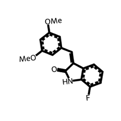 COc1cc(/C=C2\C(=O)Nc3c(F)cccc32)cc(OC)c1